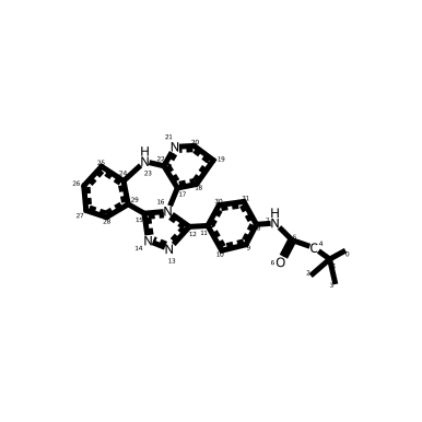 CC(C)(C)CC(=O)Nc1ccc(-c2nnc3n2-c2cccnc2Nc2ccccc2-3)cc1